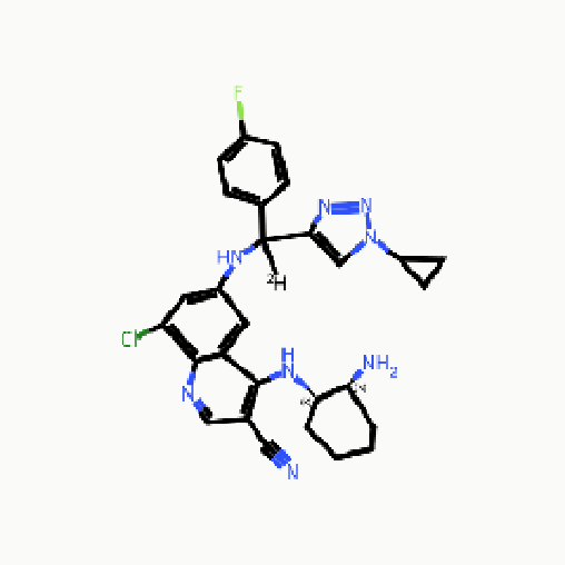 [2H]C(Nc1cc(Cl)c2ncc(C#N)c(N[C@@H]3CCCC[C@@H]3N)c2c1)(c1ccc(F)cc1)c1cn(C2CC2)nn1